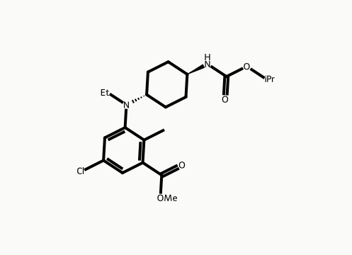 CCN(c1cc(Cl)cc(C(=O)OC)c1C)[C@H]1CC[C@H](NC(=O)OC(C)C)CC1